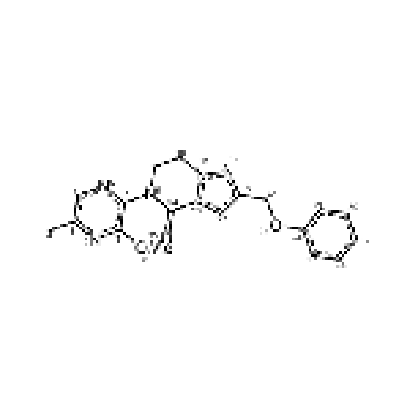 COc1nc(C)cnc1N1CCn2nc(COc3ccccc3)cc2C1=O